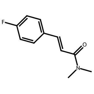 CN(C)C(=O)C=Cc1ccc(F)cc1